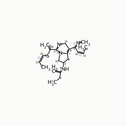 C=C(CC)NC1CC2=C(C(/C=C\C)=N/C)CN=C(C(=C)S/C=C\C)N2C1